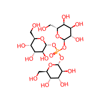 O=P(O[C@H]1O[C@H](CO)[C@@H](O)[C@@H](O)[C@@H]1O)(O[C@H]1O[C@H](CO)[C@@H](O)[C@@H](O)[C@@H]1O)O[C@H]1O[C@H](CO)[C@@H](O)[C@@H](O)[C@@H]1O